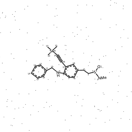 CN[S+]([O-])CCc1ccc(NCc2ccccc2)c(C#C[Si](C)(C)C)c1